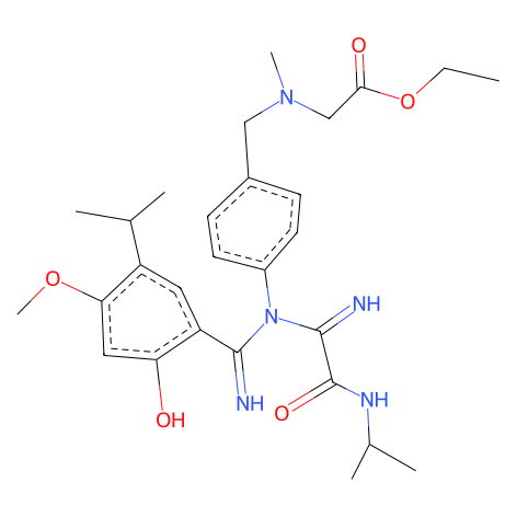 CCOC(=O)CN(C)Cc1ccc(N(C(=N)C(=O)NC(C)C)C(=N)c2cc(C(C)C)c(OC)cc2O)cc1